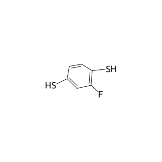 Fc1cc(S)ccc1S